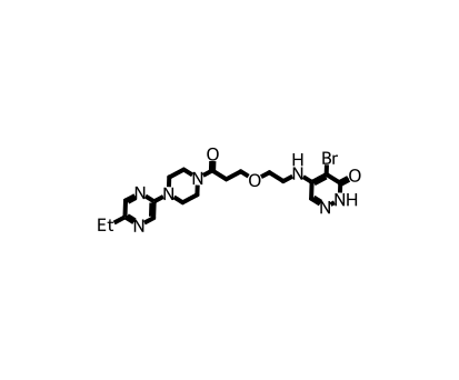 CCc1cnc(N2CCN(C(=O)CCOCCNc3cn[nH]c(=O)c3Br)CC2)cn1